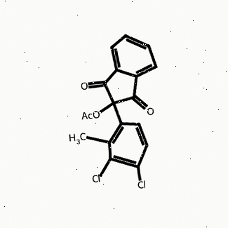 CC(=O)OC1(c2ccc(Cl)c(Cl)c2C)C(=O)c2ccccc2C1=O